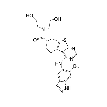 COc1cc2[nH]ncc2cc1Nc1ncnc2sc3c(c12)CC[C@H](C(=O)N(CCO)CCO)C3